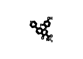 NC(=O)c1cn(-c2ccc(O)cc2F)c2cc(-c3ccncc3)ccc2c1=O